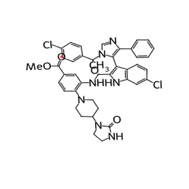 COC(=O)c1ccc(N2CCC(N3CCNC3=O)CC2)c(NC(=O)c2[nH]c3cc(Cl)ccc3c2-c2c(-c3ccccc3)ncn2[C@@H](C)c2ccc(Cl)cc2)c1